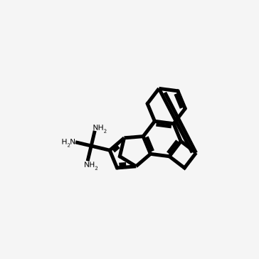 NC(N)(N)C1=C2CC(=C1)c1c2c2c3ccc(c4c3c1C4)C2